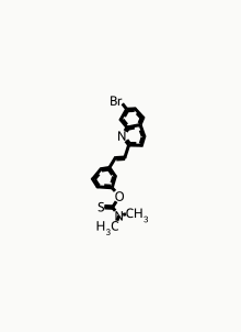 CN(C)C(=S)Oc1cccc(C=Cc2ccc3ccc(Br)cc3n2)c1